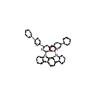 c1ccc(-c2ccc(-c3cc(-c4ccc(-c5ccccc5)cn4)nc(-n4c5ccccc5c5ccc6c7ccccc7n(-c7ccccc7)c6c54)n3)nc2)cc1